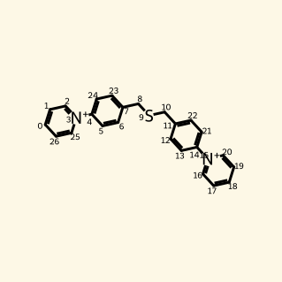 c1cc[n+](-c2ccc(CSCc3ccc(-[n+]4ccccc4)cc3)cc2)cc1